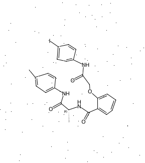 Cc1ccc(NC(=O)[C@@H](C)NC(=O)c2ccccc2OCC(=O)Nc2ccc(I)cc2)cc1